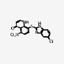 O=c1cc[nH]c2c(Sc3nc4cc(Cl)ccc4[nH]3)ccc([N+](=O)[O-])c12